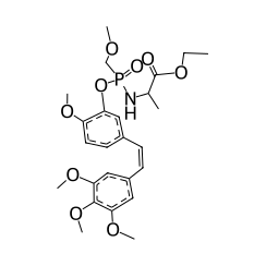 CCOC(=O)C(C)NP(=O)(COC)Oc1cc(/C=C\c2cc(OC)c(OC)c(OC)c2)ccc1OC